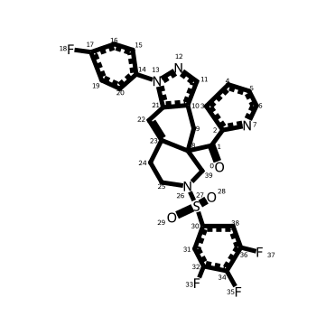 O=C(c1ccccn1)C12Cc3cnn(-c4ccc(F)cc4)c3C=C1CCN(S(=O)(=O)c1cc(F)c(F)c(F)c1)C2